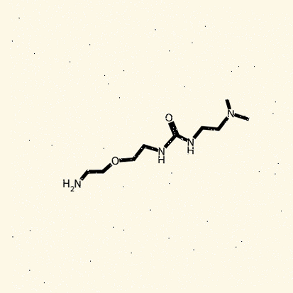 CN(C)CCNC(=O)NCCOCCN